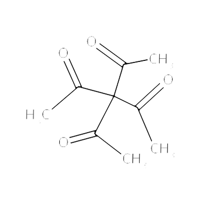 CC(=O)C(C(C)=O)(C(C)=O)C(C)=O